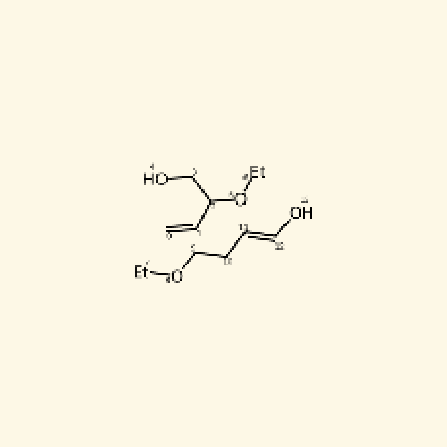 C=CC(CO)OCC.CCOCC/C=C/O